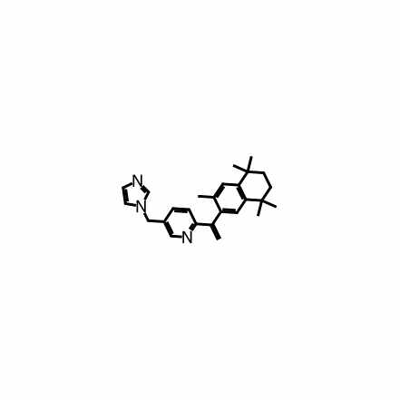 C=C(c1ccc(Cn2ccnc2)cn1)c1cc2c(cc1C)C(C)(C)CCC2(C)C